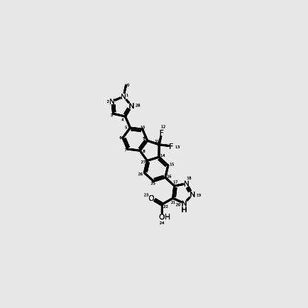 Cn1ncc(-c2ccc3c(c2)C(F)(F)c2cc(-c4nn[nH]c4C(=O)O)ccc2-3)n1